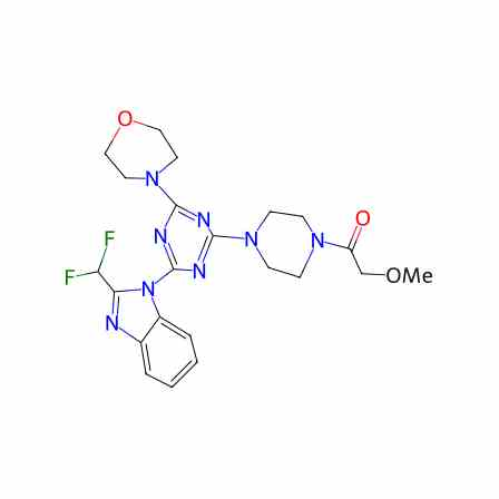 COCC(=O)N1CCN(c2nc(N3CCOCC3)nc(-n3c(C(F)F)nc4ccccc43)n2)CC1